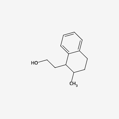 CC1CCc2ccccc2C1CCO